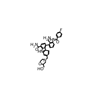 NCc1c(NC(=O)c2ccc(F)cc2)cccc1-c1ccc(C(N)=O)c2[nH]c3cc(CN4CCOC(CO)C4)ccc3c12